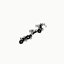 NC(O)CS(=O)(=O)c1cccc(OC[C@@H](O)CN[C@H]2COC3(CCN(S(=O)(=O)c4cnc5ccccc5c4)CC3)C2)c1